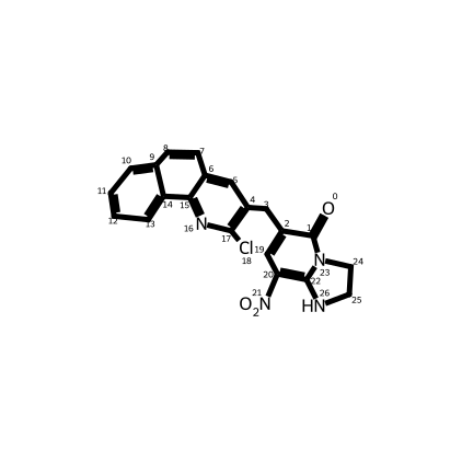 O=c1c(Cc2cc3ccc4ccccc4c3nc2Cl)cc([N+](=O)[O-])c2n1CCN2